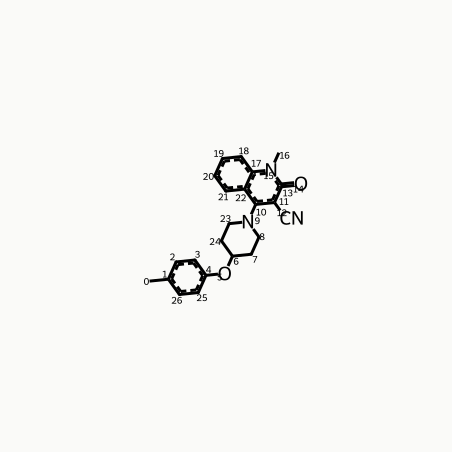 Cc1ccc(OC2CCN(c3c(C#N)c(=O)n(C)c4ccccc34)CC2)cc1